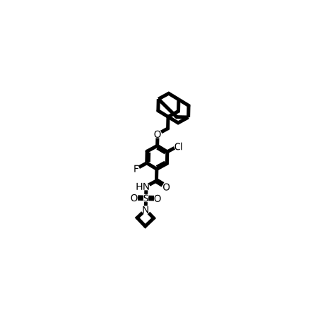 O=C(NS(=O)(=O)N1CCC1)c1cc(Cl)c(OCC23CC4CC(CC(C4)C2)C3)cc1F